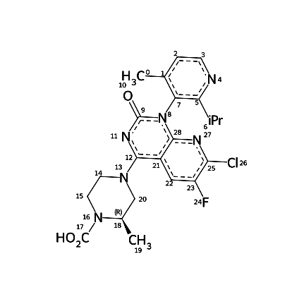 Cc1ccnc(C(C)C)c1-n1c(=O)nc(N2CCN(C(=O)O)[C@H](C)C2)c2cc(F)c(Cl)nc21